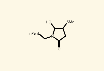 CCCCCCN1C(=O)CC(SC)C1O